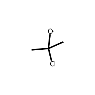 CC(C)([O])Cl